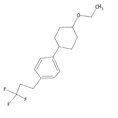 CCOC1CCC(c2ccc(CCC(F)(F)F)cc2)CC1